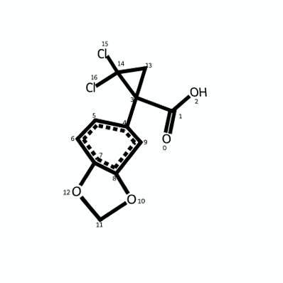 O=C(O)C1(c2ccc3c(c2)OCO3)CC1(Cl)Cl